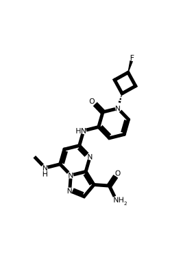 CNc1cc(Nc2cccn([C@H]3C[C@H](F)C3)c2=O)nc2c(C(N)=O)cnn12